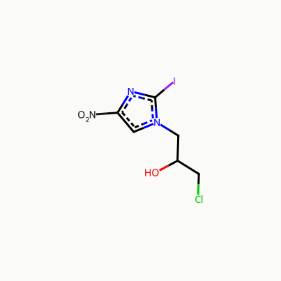 O=[N+]([O-])c1cn(CC(O)CCl)c(I)n1